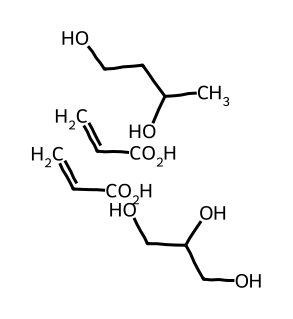 C=CC(=O)O.C=CC(=O)O.CC(O)CCO.OCC(O)CO